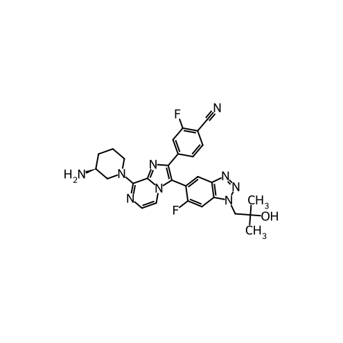 CC(C)(O)Cn1nnc2cc(-c3c(-c4ccc(C#N)c(F)c4)nc4c(N5CCC[C@H](N)C5)nccn34)c(F)cc21